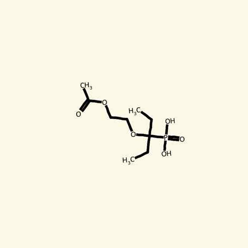 CCC(CC)(OCCOC(C)=O)P(=O)(O)O